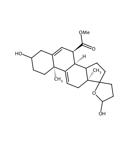 COC(=O)[C@@H]1C=C2CC(O)CC[C@]2(C)C2=CC[C@@]3(C)C(CCC34CCC(O)O4)[C@@H]21